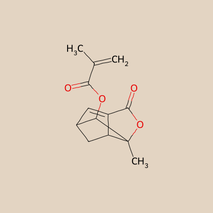 C=C(C)C(=O)OC1C2C=C3C(=O)OC1(C)C3C2